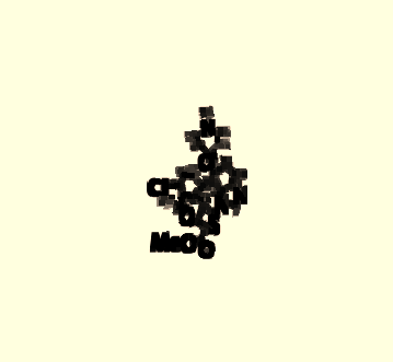 COC(=O)c1sc(-n2cnc3ccc(OC4CCN(C)CC4)cc32)cc1O[C@H](C)c1ccccc1Cl